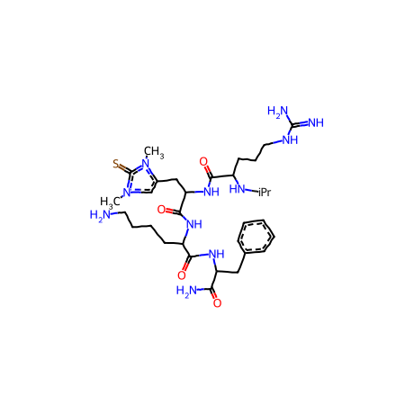 CC(C)NC(CCCNC(=N)N)C(=O)NC(Cc1cn(C)c(=S)n1C)C(=O)NC(CCCCN)C(=O)NC(Cc1ccccc1)C(N)=O